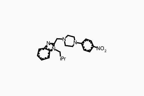 CC(C)Cn1c(CN2CCN(c3ccc([N+](=O)[O-])cc3)CC2)nc2ccccc21